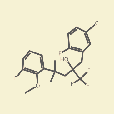 COc1c(F)cccc1C(C)(C)CC(O)(Cc1cc(Cl)ccc1F)C(F)(F)F